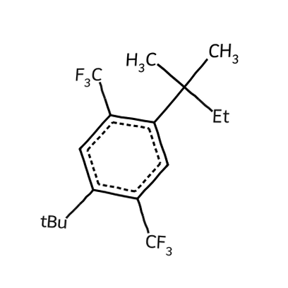 CCC(C)(C)c1cc(C(F)(F)F)c(C(C)(C)C)cc1C(F)(F)F